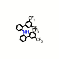 FC(F)(F)c1cc(-c2ccccc2Nc2ccccc2-c2cc(C(F)(F)F)cc(C(F)(F)F)c2)cc(C(F)(F)F)c1